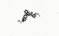 Cc1cccc(NC(=O)c2cc3ccccc3c(N3CCc4nc(N)ncc4C3)n2)c1